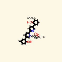 CC(=O)[O-].CC(=O)[O-].CC(=O)[O-].COc1cccc(-c2ccc(-c3ccc(-c4cc(C)ccc4O)cn3)nc2)c1O.[Mn+3]